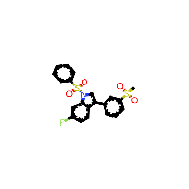 CS(=O)(=O)c1cccc(-c2cn(S(=O)(=O)c3ccccc3)c3cc(F)ccc23)c1